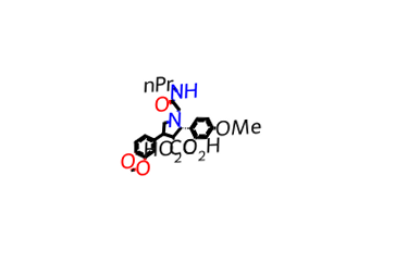 CCCNC(=O)CN1CC(c2ccc3c(c2)OCO3)[C@H](C(=O)O)[C@H]1c1ccc(OC)cc1C(=O)O